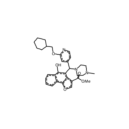 COC(=O)c1coc2c1c(C(c1ccnc(OCC3CCCCC3)c1)N1CCN(C)CC1)c(O)c1ccccc12